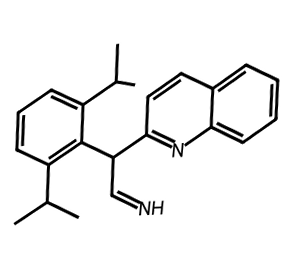 CC(C)c1cccc(C(C)C)c1C(C=N)c1ccc2ccccc2n1